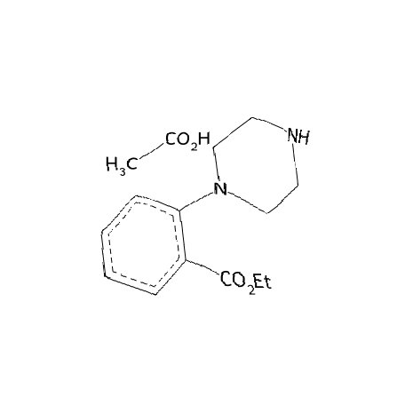 CC(=O)O.CCOC(=O)c1ccccc1N1CCNCC1